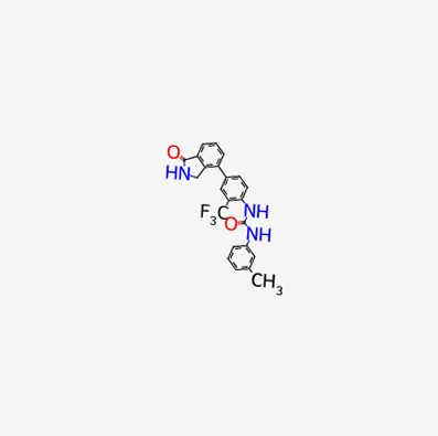 Cc1cccc(NC(=O)Nc2ccc(-c3cccc4c3CNC4=O)cc2C(F)(F)F)c1